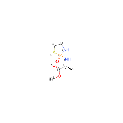 CC(C)OC(=O)[C@H](C)NP1(=O)NCCS1